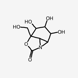 O=C1OC2(CO)C(O)C(O)C(O)C3C2N13